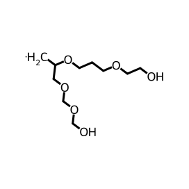 [CH2]C(COCOCO)OCCCOCCO